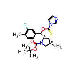 Cc1ccc(C(OC(=S)n2ccnc2)[C@@H]2C[C@@H](C)CN2C(=O)OC(C)(C)C)cc1F